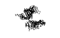 Cc1ncsc1-c1ccc(CNC(=O)[C@@H]2C[C@@H](O)CN2C(=O)[C@@H](NC(=O)CCC/C=C/c2ccc(CO[C@H](C)[C@H](CCC(N)=O)NC(=O)[C@@H]3Cc4cccc5c4N3C(=O)[C@@H](NC(O)c3cc4cc(C(=O)P(=O)(O)O)ccc4[nH]3)CC5)cc2)C(C)(C)C)cc1